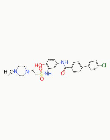 CN1CCN(CCS(=O)(=O)Nc2cc(NC(=O)c3ccc(-c4ccc(Cl)cc4)cc3)ccc2O)CC1